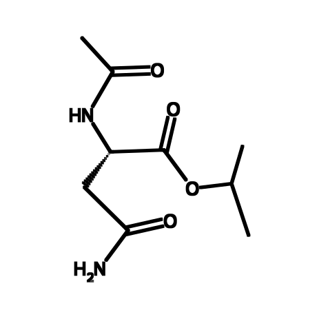 CC(=O)N[C@@H](CC(N)=O)C(=O)OC(C)C